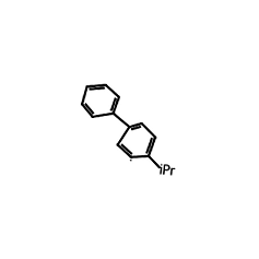 CC(C)c1[c]cc(-c2ccccc2)cc1